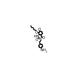 CCCCCOc1c(OC)ccc2c(=O)n(CCc3ccc(N)cc3)c(=O)[nH]c12